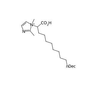 CCCCCCCCCCCCCCCCCCC(C(=O)O)[N+]1(C)C=CN=C1C